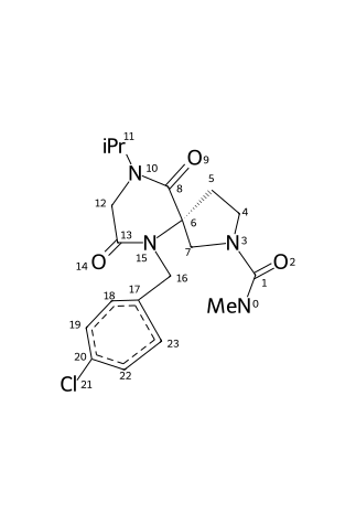 CNC(=O)N1CC[C@@]2(C1)C(=O)N(C(C)C)CC(=O)N2Cc1ccc(Cl)cc1